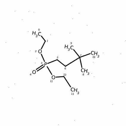 CCOP(=O)(CCC(C)(C)C)OCC